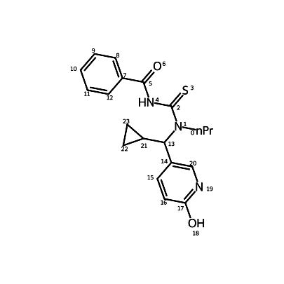 CCCN(C(=S)NC(=O)c1ccccc1)C(c1ccc(O)nc1)C1CC1